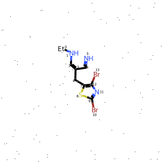 CCN/C=C(\C=N)Cc1sc(Br)nc1Br